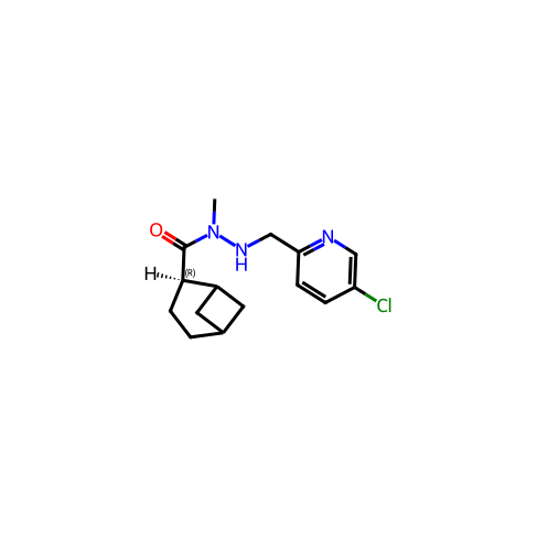 CN(NCc1ccc(Cl)cn1)C(=O)[C@@H]1CCC2CC1C2